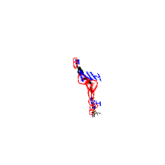 CC(C)C(=O)CCSC1CC(=O)N(CCC(=O)NCCOCCOCCC(=O)Nc2ccc(CCC(=O)N3CCC3=O)cc2)C1=O